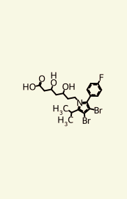 CC(C)c1c(Br)c(Br)c(-c2ccc(F)cc2)n1CCC(O)CC(O)CC(=O)O